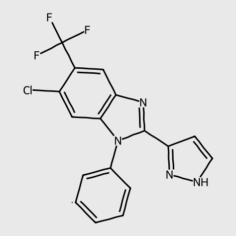 FC(F)(F)c1cc2nc(-c3cc[nH]n3)n(-c3c[c]ccc3)c2cc1Cl